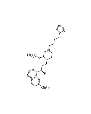 COc1ccc2nccc([C@H](F)CC[C@@H]3CCN(CCCCc4cccs4)C[C@@H]3CC(=O)O)c2c1